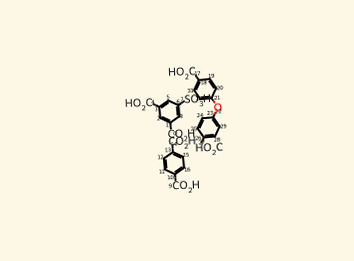 O=C(O)c1cc(C(=O)O)cc(S(=O)(=O)O)c1.O=C(O)c1ccc(C(=O)O)cc1.O=C(O)c1ccc(Oc2ccc(C(=O)O)cc2)cc1